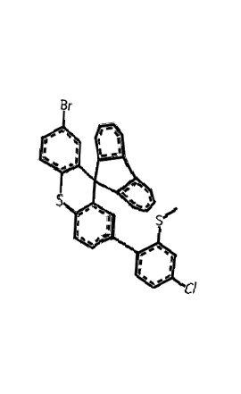 CSc1cc(Cl)ccc1-c1ccc2c(c1)C1(c3cc(Br)ccc3S2)c2ccccc2-c2ccccc21